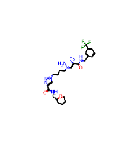 N/C(=C\N(N)CCCCn1cc(C(=O)NCC2CCCCO2)nn1)C(=O)NCc1cccc(C(F)(F)F)c1